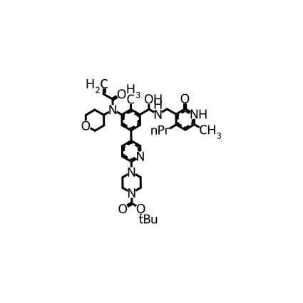 C=CC(=O)N(c1cc(-c2ccc(N3CCN(C(=O)OC(C)(C)C)CC3)nc2)cc(C(O)NCc2c(CCC)cc(C)[nH]c2=O)c1C)C1CCOCC1